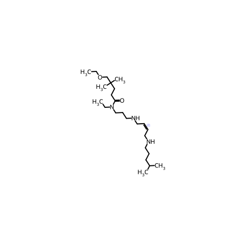 CCOCC(C)(C)CCC(=O)N(CC)CCCNC/C=C\CNCCCC(C)C